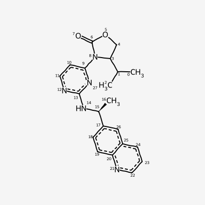 CC(C)C1COC(=O)N1c1ccnc(N[C@@H](C)c2ccc3ncccc3c2)n1